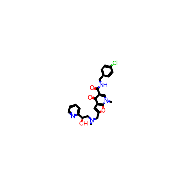 CN(Cc1cc2c(=O)c(C(=O)NCc3ccc(Cl)cc3)cn(C)c2o1)CC(O)c1ccccn1